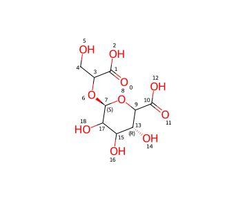 O=C(O)C(CO)O[C@H]1OC(C(=O)O)[C@H](O)C(O)C1O